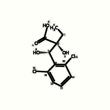 CC[C@](O)(C(=O)O)[C@@H](O)c1c(Cl)cccc1Cl